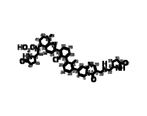 Cc1c(-c2ccn3c(=O)c(CNCC4CCC(=O)N4)cnc3c2)cccc1-c1cccc(-c2ccc3c(n2)N(C)CCC3N(CC2CCC(=O)N2)C(=O)O)c1Cl